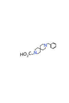 O=C(O)CN1CCC2(CC1)CCN(Cc1ccccc1)CC2